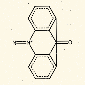 [N-]=[N+]1c2cccc3c2C(=O)c2c-3cccc21